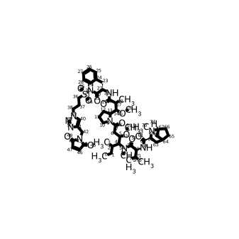 CCC(C)C(C(CC(=O)N1CCCC1C(OC)C(C)C(=O)N[C@@H](Cc1ccccc1)C(=O)NS(=O)(=O)CCCn1cc(CN2C(=O)C=CC2=O)nn1)OC)N(C)C(=O)[C@@H](NC(=O)[C@@H]1CC2CC[C@@H](C2)N1C)C(C)C